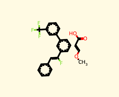 COC=CC(=O)O.FC(=Cc1ccccc1)c1cccc(-c2cccc(C(F)(F)F)c2)c1